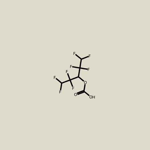 O=C(O)OC(C(F)(F)C(F)F)C(F)(F)C(F)F